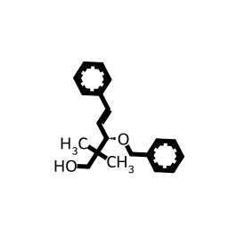 CC(C)(CO)[C@H](/C=C/c1ccccc1)OCc1ccccc1